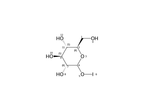 OC[C@H]1OC(OI)[C@H](O)[C@@H](O)[C@@H]1O